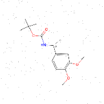 COc1ccc([C@@H](C)NC(=O)OC(C)(C)C)cc1OC